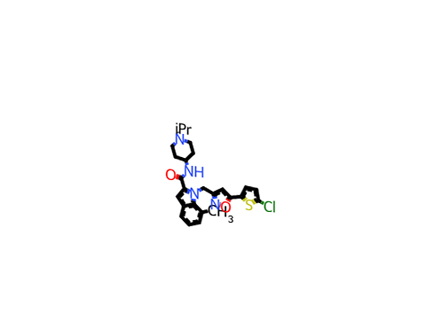 Cc1cccc2cc(C(=O)NC3CCN(C(C)C)CC3)n(Cc3cc(-c4ccc(Cl)s4)on3)c12